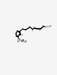 COc1cccc(CCCCCCCC(=O)O)c1